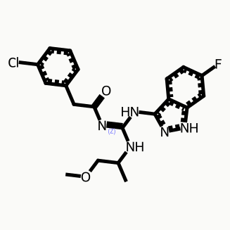 COCC(C)N/C(=N/C(=O)Cc1cccc(Cl)c1)Nc1n[nH]c2cc(F)ccc12